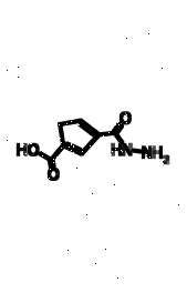 NNC(=O)C1=CCC(C(=O)O)=C1